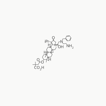 CC(C)C1=C2[C@H]3CC[C@@H]4[C@@]5(C)CCC(OC(=O)CC(C)(C)C(=O)O)C(C)(C)[C@@H]5CC[C@@]4(C)[C@]3(C)CC[C@@]2([C@@H](O)CN(CCN)Cc2ccccc2)CC1=O